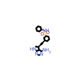 Nc1ncnc2[nH]cc(C#Cc3cccc(S(=O)(=O)Nc4ccccc4)c3)c12